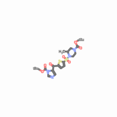 CC1CN(C(=O)OC(C)(C)C)CCN1S(=O)(=O)c1ccc(C(=O)c2cncn2C(=O)OC(C)(C)C)s1